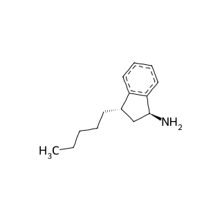 CCCCC[C@H]1C[C@H](N)c2ccccc21